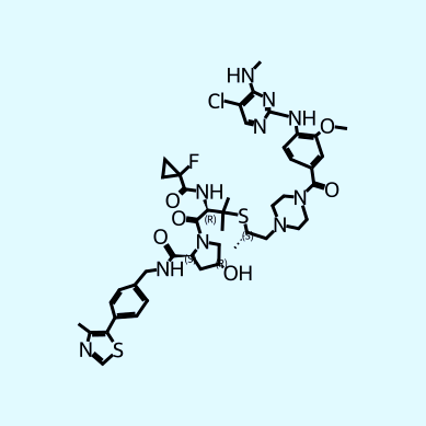 CNc1nc(Nc2ccc(C(=O)N3CCN(C[C@H](C)SC(C)(C)[C@H](NC(=O)C4(F)CC4)C(=O)N4C[C@H](O)C[C@H]4C(=O)NCc4ccc(-c5scnc5C)cc4)CC3)cc2OC)ncc1Cl